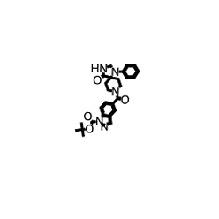 CC(C)(C)OC(=O)n1ncc2cc(C(=O)N3CCC4(CC3)C(=O)NCN4c3ccccc3)ccc21